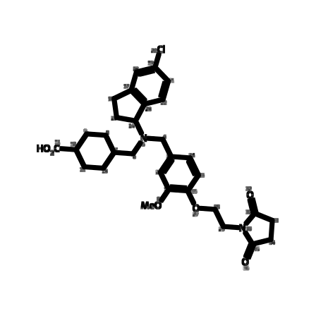 COc1cc(CN(CC2CCC(C(=O)O)CC2)C2CCc3cc(Cl)ccc32)ccc1OCCN1C(=O)CCC1=O